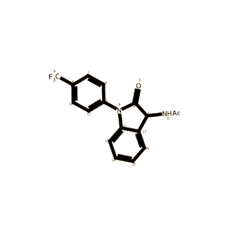 CC(=O)NC1C(=O)N(c2ccc(C(F)(F)F)cc2)c2ccccc21